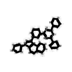 c1ccc(-c2nc(-c3ccccc3)nc(-c3cccc(-c4cn(-c5ccncc5)c5ccc6ccccc6c45)c3)n2)cc1